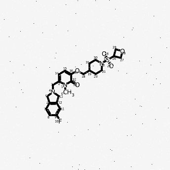 Cn1c(CN2Cc3ccc(F)cc3C2)ccc(OCC2CCN(S(=O)(=O)C3COC3)CC2)c1=O